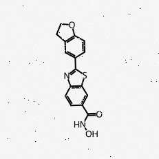 O=C(NO)c1ccc2nc(-c3ccc4c(c3)CCO4)sc2c1